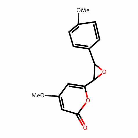 COc1ccc(C2OC2c2cc(OC)cc(=O)o2)cc1